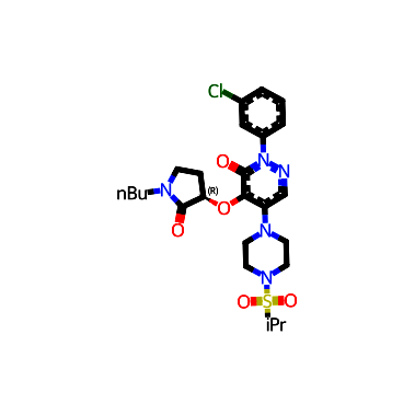 CCCCN1CC[C@@H](Oc2c(N3CCN(S(=O)(=O)C(C)C)CC3)cnn(-c3cccc(Cl)c3)c2=O)C1=O